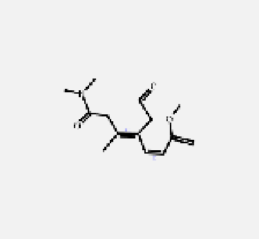 C=C(/C=C\C(CC=O)=C(/C)CC(=O)N(C)C)OC